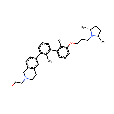 Cc1c(OCCCN2[C@H](C)CC[C@H]2C)cccc1-c1cccc(-c2ccc3c(c2)CCN(CCO)C3)c1C